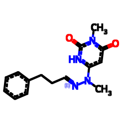 CN(/N=C/CCc1ccccc1)c1cc(=O)n(C)c(=O)[nH]1